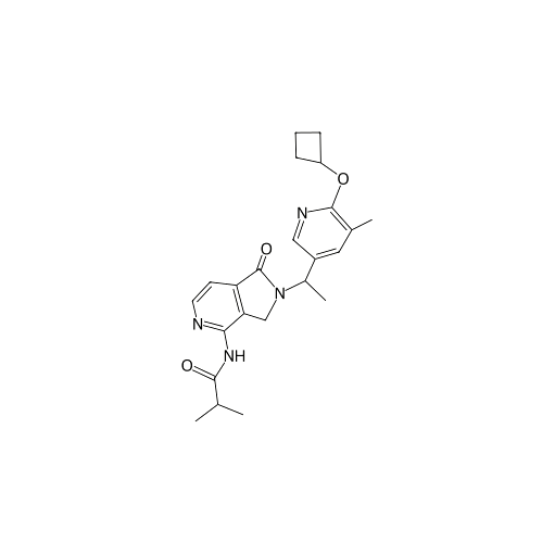 Cc1cc(C(C)N2Cc3c(ccnc3NC(=O)C(C)C)C2=O)cnc1OC1CCC1